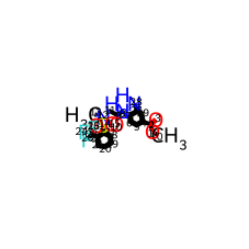 COC(=O)c1ccc(NC(=O)CN(C)S(=O)(=O)c2ccccc2C(F)(F)F)c(N)c1